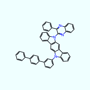 c1ccc(-c2ccc(-c3cccc(-n4c5ccccc5c5cc6c(cc54)c4ccccc4n6-c4nc5ccccc5nc4-c4ccccc4)c3)cc2)cc1